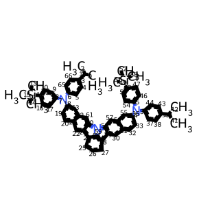 CC(C)c1ccc(N(c2ccc([Si](C)(C)C)cc2)c2ccc3cc4c5cccc6c7cc8ccc(N(c9ccc(C(C)C)cc9)c9ccc([Si](C)(C)C)cc9)cc8cc7n(c4cc3c2)c56)cc1